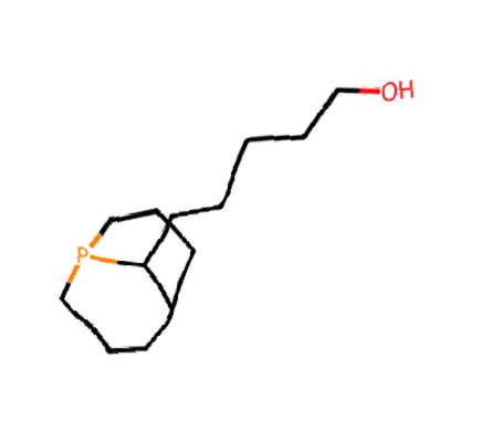 OCCCCCC1C2CCCP1CCC2